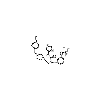 O=C(Oc1cscn1)N(Cc1cccc(OC(F)(F)F)c1)CC1C2CN(Cc3ccc(F)cc3)CC21